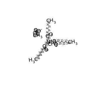 CCCCCCCC(=O)OCC[N+](C)(CCOC(=O)CCCCCCC)CCOC(=O)CCCCCCC.COS(=O)(=O)[O-]